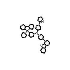 c1ccc(C2(c3cccc(N(c4ccc(-c5ccccn5)cc4)c4ccc(-c5cccc6c5oc5ccccc56)cc4)c3)c3ccccc3-c3ccccc32)cc1